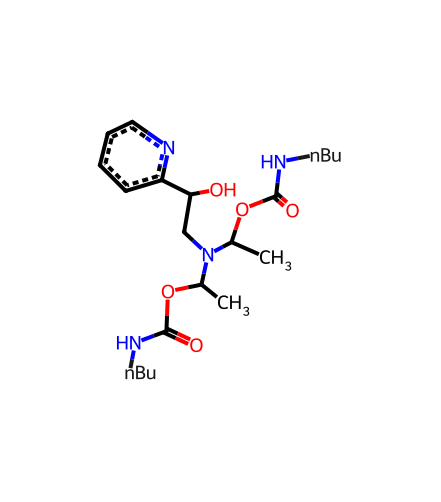 CCCCNC(=O)OC(C)N(CC(O)c1ccccn1)C(C)OC(=O)NCCCC